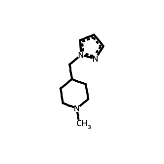 CN1CCC(Cn2cccn2)CC1